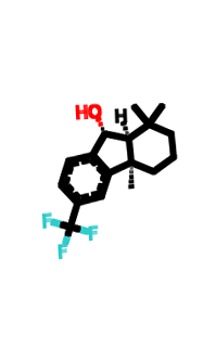 CC1(C)CCC[C@@]2(C)c3cc(C(F)(F)F)ccc3[C@H](O)[C@@H]12